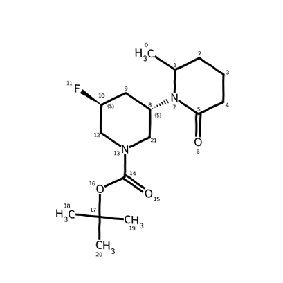 CC1CCCC(=O)N1[C@H]1C[C@H](F)CN(C(=O)OC(C)(C)C)C1